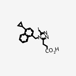 O=C(O)CCc1nnc(I)n1Cc1ccc(C2CC2)c2ccccc12